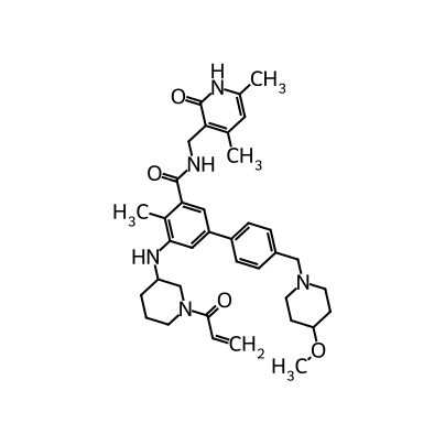 C=CC(=O)N1CCCC(Nc2cc(-c3ccc(CN4CCC(OC)CC4)cc3)cc(C(=O)NCc3c(C)cc(C)[nH]c3=O)c2C)C1